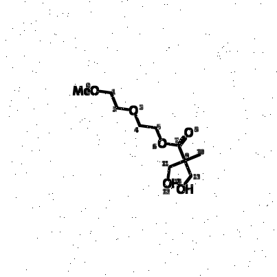 COCCOCCOC(=O)C(C)(CO)CO